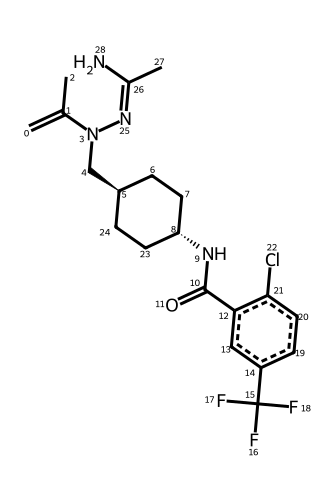 C=C(C)N(C[C@H]1CC[C@H](NC(=O)c2cc(C(F)(F)F)ccc2Cl)CC1)/N=C(/C)N